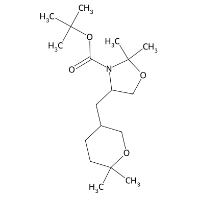 CC(C)(C)OC(=O)N1C(CC2CCC(C)(C)OC2)COC1(C)C